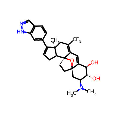 CN(C)[C@H]1C[C@@]23CC[C@@]4(O2)C(=C(C(F)(F)F)C[C@]2(C)C(c5ccc6cn[nH]c6c5)=CCC24)C=C3[C@@H](O)[C@@H]1O